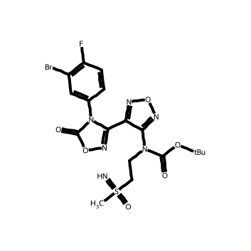 CC(C)(C)OC(=O)N(CCS(C)(=N)=O)c1nonc1-c1noc(=O)n1-c1ccc(F)c(Br)c1